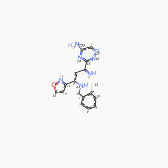 N=C(/C=C(\NCc1ccccc1F)c1ccon1)c1nncc(N)n1